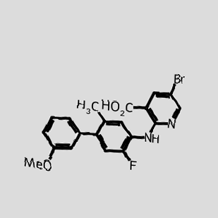 COc1cccc(-c2cc(F)c(Nc3ncc(Br)cc3C(=O)O)cc2C)c1